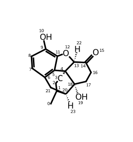 CC1CC[C@]23c4c5ccc(O)c4O[C@H]2C(=O)CC[C@@]3(O)[C@H]1C5